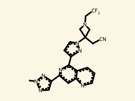 Cn1ncc(-c2cc3ncccc3c(-c3ccn(C4(CC#N)CN(CC(F)(F)F)C4)n3)n2)n1